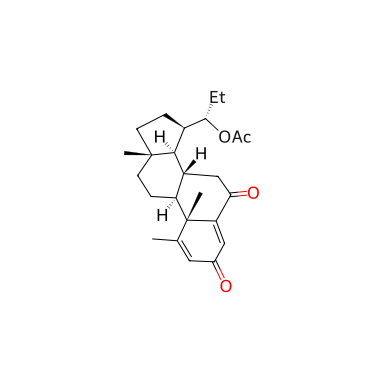 CC[C@H](OC(C)=O)[C@@H]1CC[C@@]2(C)CC[C@H]3[C@@H](CC(=O)C4=CC(=O)C=C(C)[C@@]43C)[C@H]12